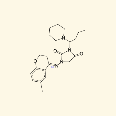 CCCC(N1CCCCC1)N1C(=O)CN(/N=C2\CCOc3ccc(C)cc32)C1=O